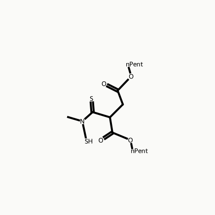 CCCCCOC(=O)CC(C(=O)OCCCCC)C(=S)N(C)S